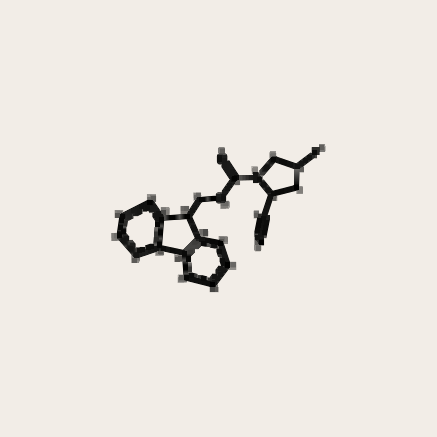 N#CC1CC(F)CN1C(=O)OCC1c2ccccc2-c2ccccc21